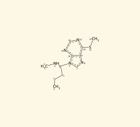 CCCC(NC)n1cnc2c(SC)ncnc21